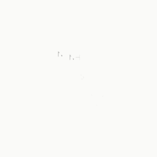 c1cc(SCC2CC2)[nH]n1